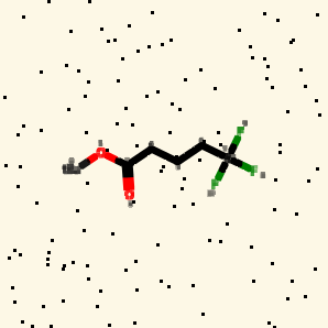 CC(C)(C)OC(=O)CCC[B-](F)(F)F